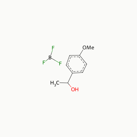 COc1ccc(C(C)O)cc1.FB(F)F